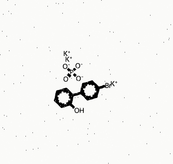 O=P([O-])([O-])[O-].Oc1ccccc1-c1ccc(Br)cc1.[K+].[K+].[K+]